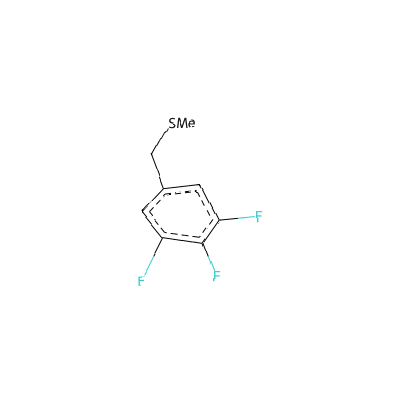 CSCc1cc(F)c(F)c(F)c1